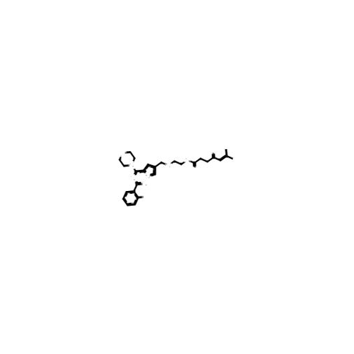 CC(C)=CC(=O)CCC(=O)NCCNCc1cc2c(N3CCOCC3)nc(-c3ccccc3O)nn2c1